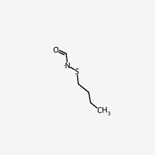 CCCCS[N]C=O